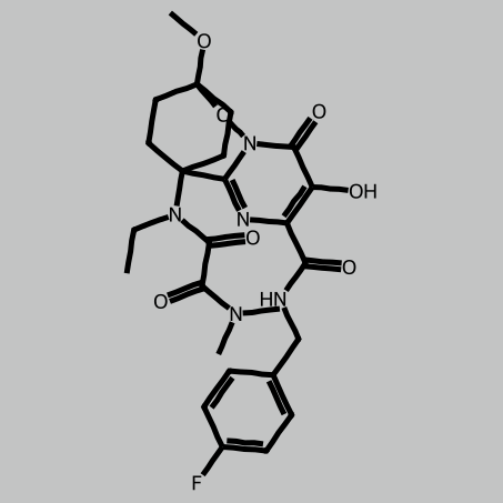 CCN(C(=O)C(=O)N(C)C)C12CCC(OC)(CC1)Cn1c2nc(C(=O)NCc2ccc(F)cc2)c(O)c1=O